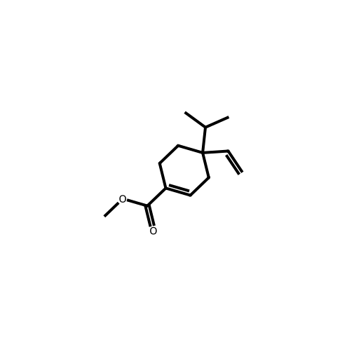 C=CC1(C(C)C)CC=C(C(=O)OC)CC1